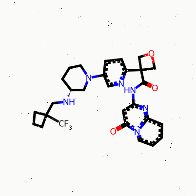 O=C(Nc1cc(=O)n2ccccc2n1)C1(c2ccc(N3CCC[C@@H](NCC4(C(F)(F)F)CCC4)C3)cn2)COC1